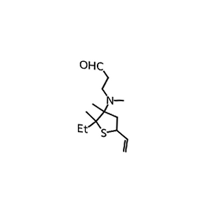 C=CC1CC(C)(N(C)CCC=O)C(C)(CC)S1